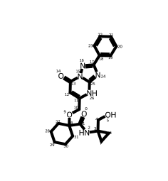 O=C(NC1(CO)CC1)C1(OCc2cc(=O)n3nc(-c4ccccc4)nc3[nH]2)CCCCC1